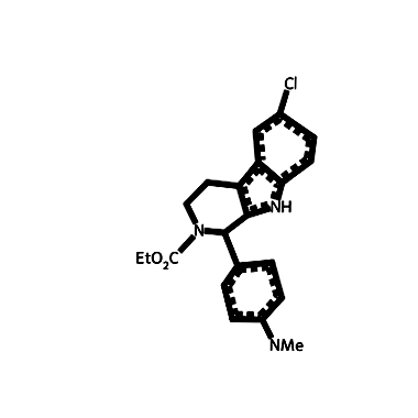 CCOC(=O)N1CCc2c([nH]c3ccc(Cl)cc23)C1c1ccc(NC)cc1